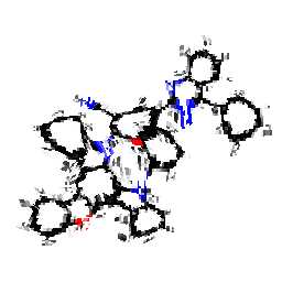 N#Cc1cc(-c2nc(-c3ccccc3)c3ccccc3n2)ccc1-n1c2ccccc2c2c3c4ccccc4oc3c3c4ccccc4n(-c4ccccc4)c3c21